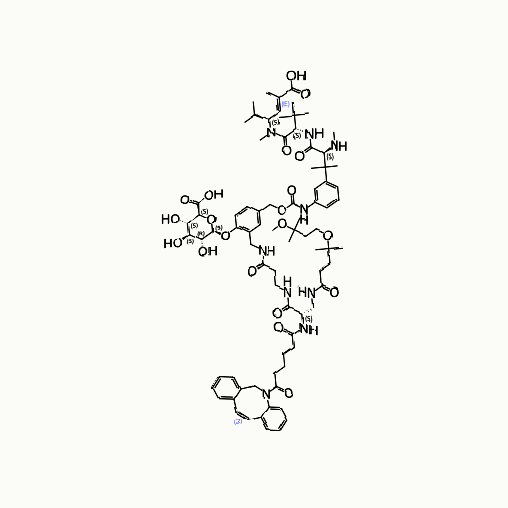 CN[C@H](C(=O)N[C@H](C(=O)N(C)[C@H](/C=C(\C)C(=O)O)C(C)C)C(C)(C)C)C(C)(C)c1cccc(NC(=O)OCc2ccc(O[C@@H]3O[C@H](C(=O)O)[C@@H](O)[C@H](O)[C@H]3O)c(CNC(=O)CCNC(=O)[C@H](CNC(=O)CCC(C)(C)OCCC(C)(C)OC)NC(=O)CCCCC(=O)N3Cc4ccccc4/C=C\c4ccccc43)c2)c1